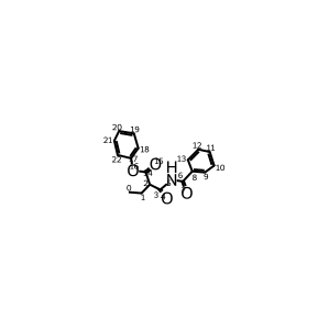 CCC(C(=O)NC(=O)c1ccccc1)C(=O)Oc1ccccc1